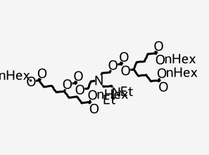 CCCCCCOC(=O)CCCC(CCCC(=O)OCCCCCC)OC(=O)OCCN(CCOC(=O)OC(CCCC(=O)OCCCCCC)CCCC(=O)OCCCCCC)CCN(CC)CC